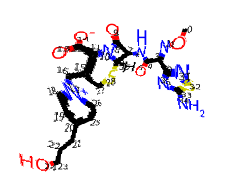 CON=C(C(=O)NC1C(=O)N2C(C(=O)[O-])=C(C[n+]3ccc(CCCO)cc3)CS[C@@H]12)c1nsc(N)n1